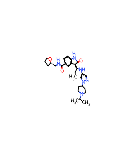 CC/C(Nc1cnn(C2CCN(C(C)C)CC2)c1)=C1/C(=O)Nc2ccc(C(=O)NC[C@H]3CCCO3)cc21